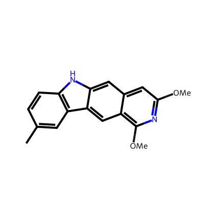 COc1cc2cc3[nH]c4ccc(C)cc4c3cc2c(OC)n1